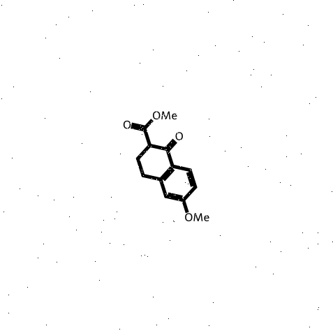 COC(=O)C1CCc2cc(OC)ccc2C1=O